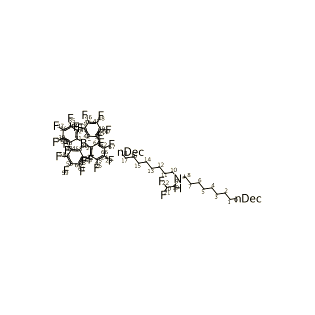 CCCCCCCCCCCCCCCCCC[NH+](CCCCCCCCCCCCCCCCCC)CC(F)F.Fc1c(F)c(F)c([B-](c2c(F)c(F)c(F)c(F)c2F)(c2c(F)c(F)c(F)c(F)c2F)c2c(F)c(F)c(F)c(F)c2F)c(F)c1F